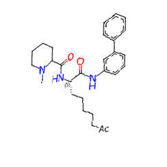 CC(=O)CCCCC[C@H](NC(=O)C1CCCCN1C)C(=O)Nc1cccc(-c2ccccc2)c1